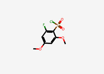 COc1cc(F)c(S(=O)(=O)Cl)c(OC)c1